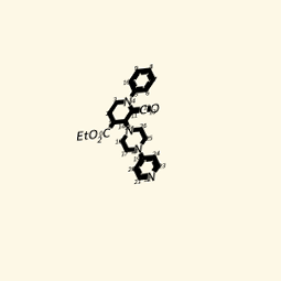 CCOC(=O)C1CCN(c2ccccc2)C(=C=O)C1N1CCN(c2ccncc2)CC1